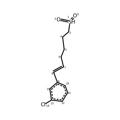 O=[SH](=O)CCCCC=Cc1cccc(Cl)c1